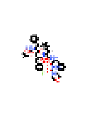 CC[C@H](C)[C@H](NC(=O)C(Cc1ccc(F)cc1)CC(O[Si](C)(C)C(C)(C)C)C(Cc1ccccc1)NC(=O)OC(C)(C)C)C(=O)NC(Cc1ccccc1)C(=O)NC(=O)N1CCOCC1